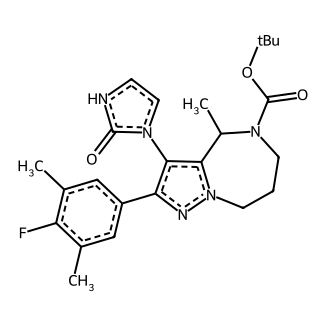 Cc1cc(-c2nn3c(c2-n2cc[nH]c2=O)C(C)N(C(=O)OC(C)(C)C)CCC3)cc(C)c1F